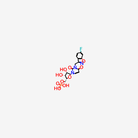 O=c1ccn([C@@H]2O[C@H](COP(=O)(O)O)[C@H](O)[C@@H]2O)c(=O)n1Cc1noc2cc(F)ccc12